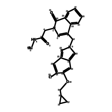 CC(C)(C)NC(=O)Cn1nc(Cn2cc3cc(OCC4CC4)c(Cl)cc3n2)c2ccccc2c1=O